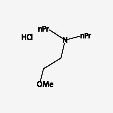 CCCN(CCC)CCOC.Cl